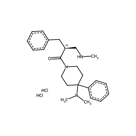 CNC[C@H](Cc1ccccc1)C(=O)N1CCC(c2ccccc2)(N(C)C)CC1.Cl.Cl